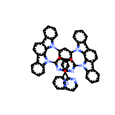 c1ccc(-c2cccc(-n3c4ccccc4c4ccc5c6ccccc6n(-c6cccc(-n7c8ccccc8c8ccc9c%10ccccc%10n(-c%10cccc(-c%11ccccn%11)n%10)c9c87)c6)c5c43)n2)nc1